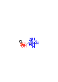 CN(C)CCNc1nc(N)nc2c1ncn2CCOCP(=O)(O)Oc1ccccc1